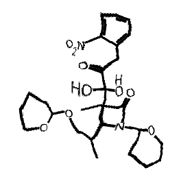 CC(COC1CCCCO1)C1N(C2CCCCO2)C(=O)C1(C)C(O)(O)C(=O)Cc1ccccc1[N+](=O)[O-]